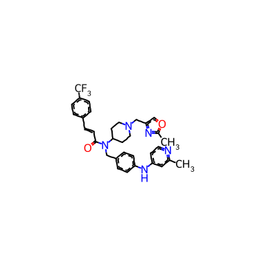 Cc1cc(Nc2ccc(CN(C(=O)C=Cc3ccc(C(F)(F)F)cc3)C3CCN(Cc4coc(C)n4)CC3)cc2)ccn1